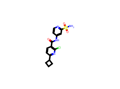 NS(=O)(=O)c1cc(NC(=O)c2ccc(C3CCC3)nc2Cl)ccn1